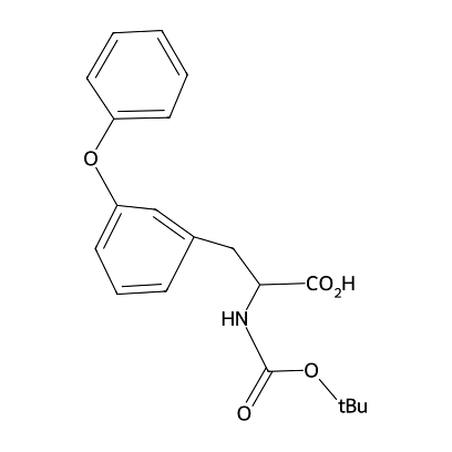 CC(C)(C)OC(=O)NC(Cc1cccc(Oc2ccccc2)c1)C(=O)O